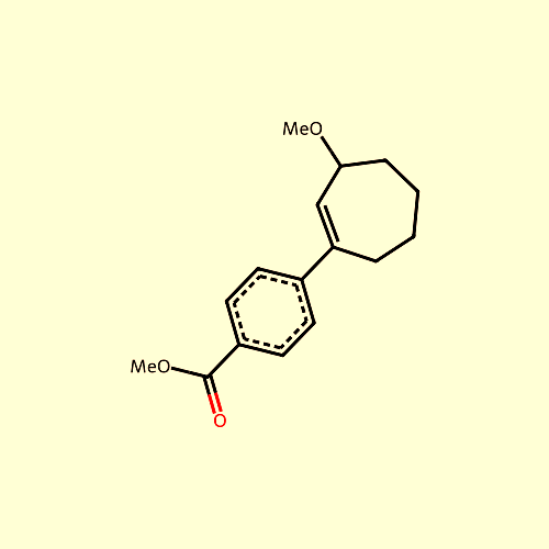 COC(=O)c1ccc(C2=CC(OC)CCCC2)cc1